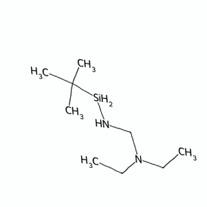 CCN(CC)CN[SiH2]C(C)(C)C